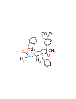 CCOC(=O)Cc1cccc(C(C)(CCCC(C)(C)CN(C)C(=O)OCc2ccccc2)C(=O)OCc2ccccc2)c1